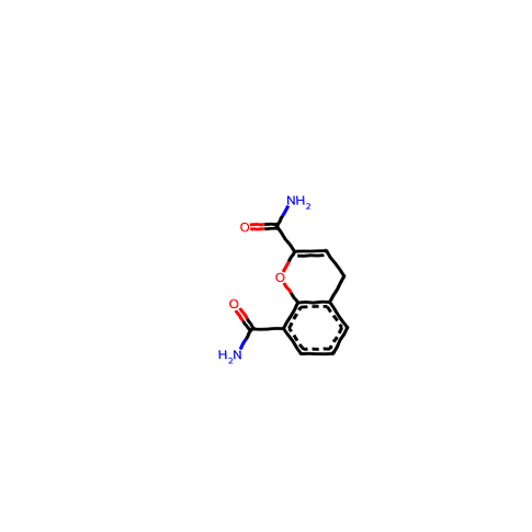 NC(=O)C1=CCc2cccc(C(N)=O)c2O1